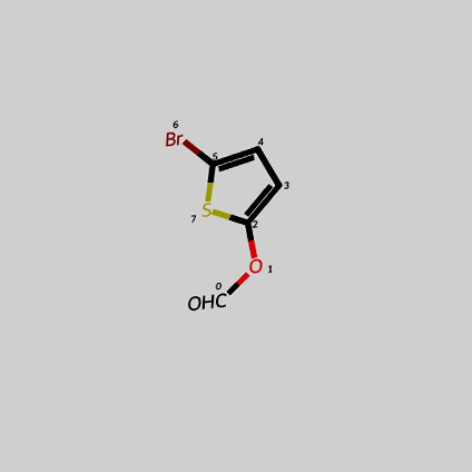 O=COc1ccc(Br)s1